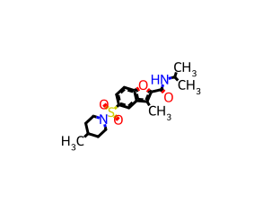 Cc1c(C(=O)NC(C)C)oc2ccc(S(=O)(=O)N3CCC(C)CC3)cc12